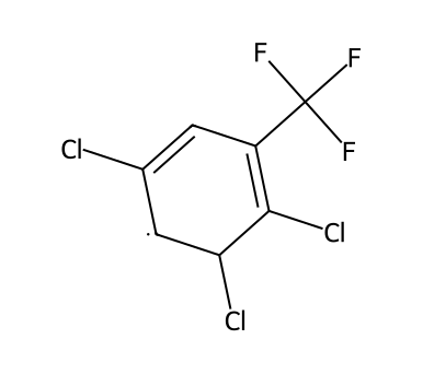 FC(F)(F)C1=C(Cl)C(Cl)[CH]C(Cl)=C1